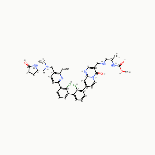 COc1nc(-c2cccc(-c3cccc(-c4ccn5c(=O)c(CNCC(C)NC(=O)OC(C)(C)C)cnc5c4)c3Cl)c2Cl)ccc1CN(C[C@@H]1CCC(=O)N1)C(=O)O